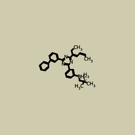 C/C=C\C=C(/CC)c1nc(-c2cccc(BCC(C)(C)C)c2)nc(-c2cccc(-c3ccccc3)c2)n1